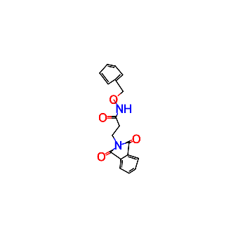 O=C(CCN1C(=O)c2ccccc2C1=O)NOCc1ccccc1